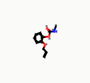 C=CCOc1ccccc1OC(=O)NC